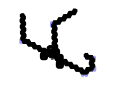 CC/C=C\C/C=C\C/C=C\CCCCCCCC(=O)OC[C@@H](COC(=O)CCCCCCC/C=C\CCCCCCCC)OC(=O)CCCCCCC/C=C\CCCCCCCC